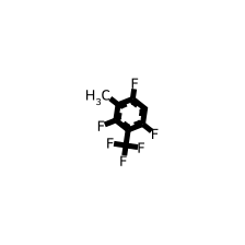 Cc1c(F)cc(F)c(C(F)(F)F)c1F